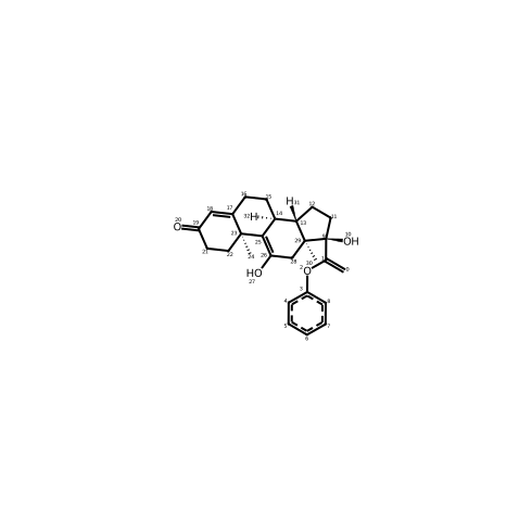 C=C(Oc1ccccc1)[C@@]1(O)CC[C@H]2[C@@H]3CCC4=CC(=O)CC[C@]4(C)C3=C(O)C[C@@]21C